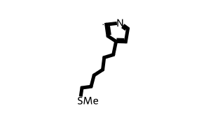 CSCCCCCCc1c[c]ncc1